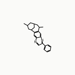 CC1CC2CC(C)c3cc4nc(-c5ccccc5)cnc4cc3C(C1)C2